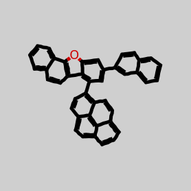 c1ccc2cc(-c3cc(-c4ccc5ccc6cccc7ccc4c5c67)c4c(c3)oc3c5ccccc5ccc34)ccc2c1